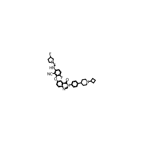 N#Cc1c(NSN2CCC(F)C2)ccc(F)c1Oc1ccc2ncn(-c3ccc(C4CCN(C5CCC5)CC4)cc3)c(=O)c2c1